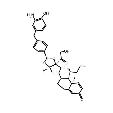 CCC[C@H](O)[C@H]1[C@H]([C@@H]2C[C@H]3O[C@@H](c4ccc(Cc5ccc(O)c(N)c5)cc4)O[C@@]3(C(=O)CO)C2)CCC2=CC(=O)C=C[C@@]21C